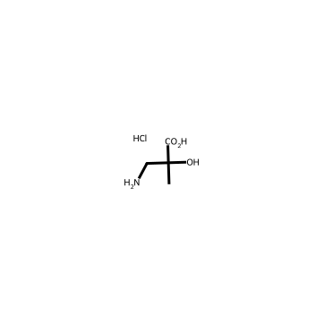 CC(O)(CN)C(=O)O.Cl